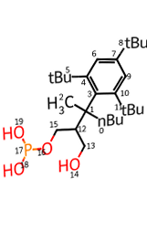 CCCCC(C)(c1c(C(C)(C)C)cc(C(C)(C)C)cc1C(C)(C)C)C(CO)COP(O)O